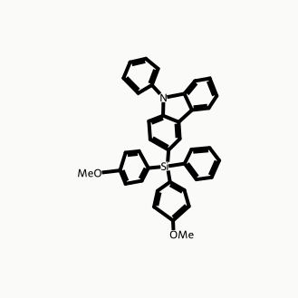 COc1ccc([Si](c2ccccc2)(c2ccc(OC)cc2)c2ccc3c(c2)c2ccccc2n3-c2ccccc2)cc1